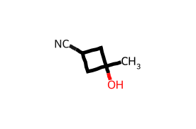 CC1(O)CC(C#N)C1